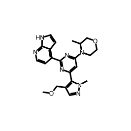 COCc1cnn(C)c1-c1cc(N2CCOCC2C)nc(-c2ccnc3[nH]ccc23)n1